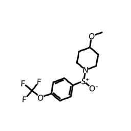 COC1CCN([S+]([O-])c2ccc(OC(F)(F)F)cc2)CC1